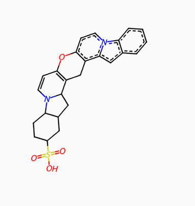 O=S(=O)(O)C1CCC2C(CC3C4=C(C=CN32)Oc2ccn3c(cc5ccccc53)c2C4)C1